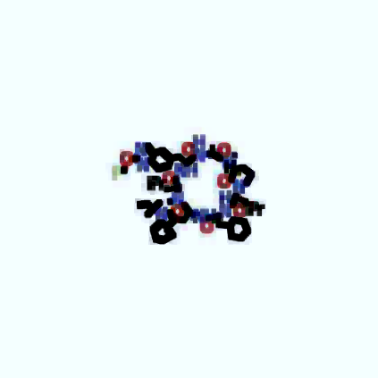 C=CC(C)(C)n1cc(C[C@@H]2NC(=O)[C@H](CC3CCCCC3)NC(=O)[C@H](CC(C)C)N3CCC[C@@H](C3=O)N(C)C(=O)[C@H](C)NC(=O)[C@H](Cc3ccc4nc(OCF)ncc4c3)NC(=O)[C@H](CC(C)C)N(C)C2=O)c2ccccc21